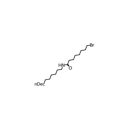 CCCCCCCCCCCCCCCCNC(=O)CCCCCCCBr